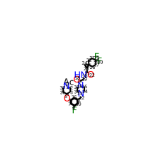 CC(=O)N1CCC(Oc2cc(F)cc(CN3CCN(C(=O)CNC(=O)C4CC45CCC(F)(F)CC5)CC3)c2)CC1